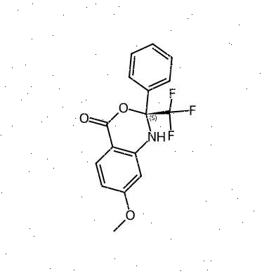 COc1ccc2c(c1)N[C@](c1ccccc1)(C(F)(F)F)OC2=O